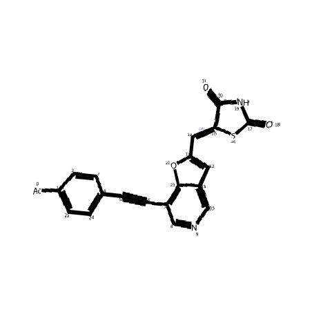 CC(=O)c1ccc(C#Cc2cncc3cc(/C=C4\SC(=O)NC4=O)oc23)cc1